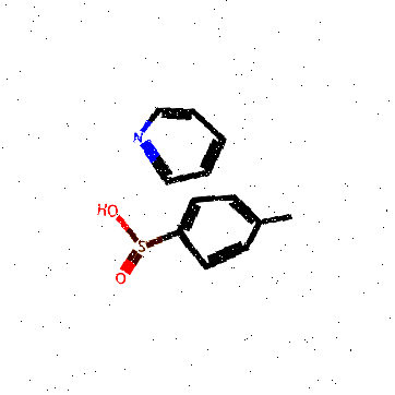 Cc1ccc(S(=O)O)cc1.c1ccncc1